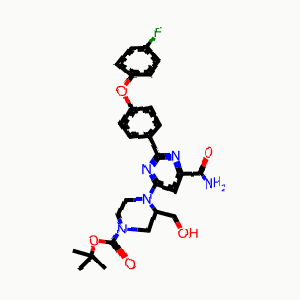 CC(C)(C)OC(=O)N1CCN(c2cc(C(N)=O)nc(-c3ccc(Oc4ccc(F)cc4)cc3)n2)C(CO)C1